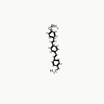 CCc1ccc(C=Cc2ccc(C=Cc3ccc(OC)cc3)cc2)cc1